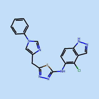 Clc1c(Nc2nnc(Cc3cn(-c4ccccc4)cn3)s2)ccc2[nH]ncc12